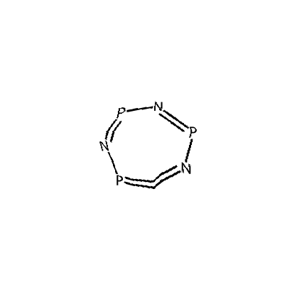 C1=NP=NP=NP=1